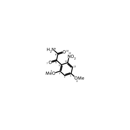 COc1cc(OC)c(C(=O)C(N)=O)c([N+](=O)[O-])c1